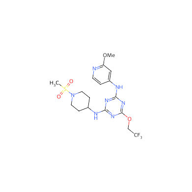 COc1cc(Nc2nc(NC3CCN(S(C)(=O)=O)CC3)nc(OCC(F)(F)F)n2)ccn1